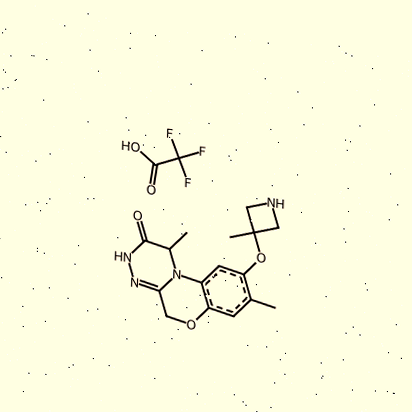 Cc1cc2c(cc1OC1(C)CNC1)N1C(=NNC(=O)C1C)CO2.O=C(O)C(F)(F)F